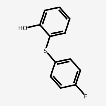 Oc1ccccc1Sc1ccc(F)cc1